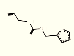 O=[C]CNC(=O)NCc1cccs1